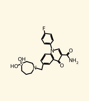 NC(=O)c1cn(-c2ccc(F)cc2)c2ccc(CN3CCCS(O)(O)CC3)cc2c1=O